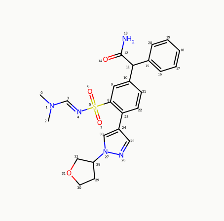 CN(C)C=NS(=O)(=O)c1cc(C(C(N)=O)c2ccccc2)ccc1-c1cnn(C2CCOC2)c1